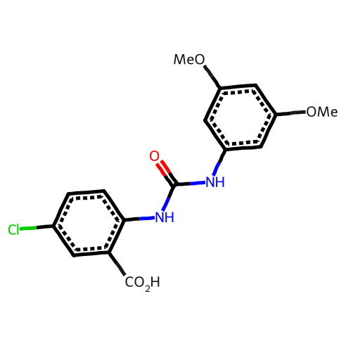 COc1cc(NC(=O)Nc2ccc(Cl)cc2C(=O)O)cc(OC)c1